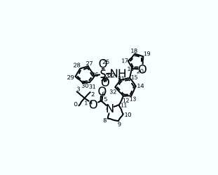 CC(C)(C)OC(=O)N1CCCC1c1ccc(-c2ccco2)c(NS(=O)(=O)c2ccccc2)c1